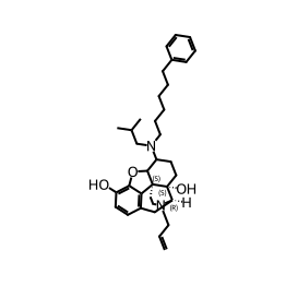 C=CCN1CC[C@]23c4c5ccc(O)c4OC2C(N(CCCCCCc2ccccc2)CC(C)C)CC[C@@]3(O)[C@H]1C5